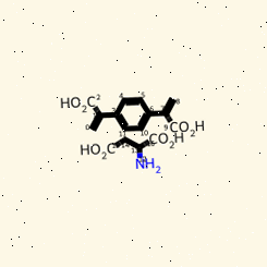 C=C(C(=O)O)c1ccc(C(=C)C(=O)O)cc1.NC(CC(=O)O)C(=O)O